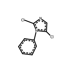 Clc1cnc(Cl)n1-c1ccccc1